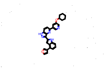 c1cc(-c2ccoc2)c2cc(-c3n[nH]c4ccc(-c5cncc(OC6CCCCC6)c5)nc34)[nH]c2c1